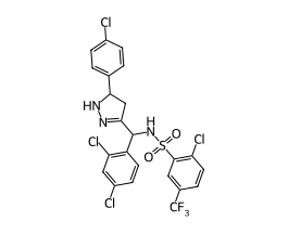 O=S(=O)(NC(C1=NNC(c2ccc(Cl)cc2)C1)c1ccc(Cl)cc1Cl)c1cc(C(F)(F)F)ccc1Cl